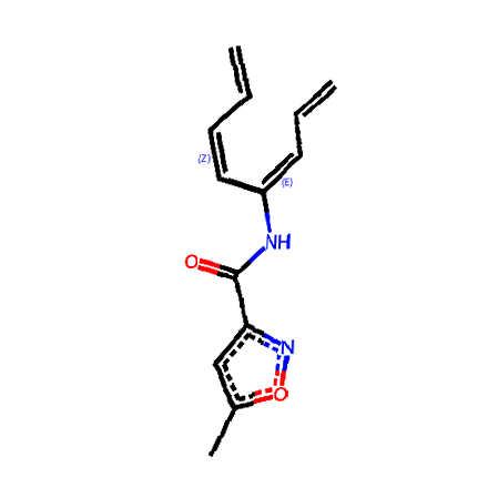 C=C/C=C\C(=C/C=C)NC(=O)c1cc(C)on1